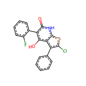 O=c1[nH]c2sc(Cl)c(-c3ccccc3)c2c(O)c1-c1ccccc1F